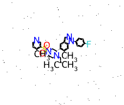 Cc1cc2c(cnn2-c2ccc(F)cc2)cc1[C@H]1CN(S(=O)(=O)c2cnccc2C)CCN1CC(C)C